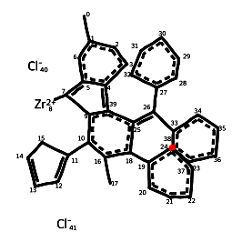 Cc1ccc2c(c1)=[C]([Zr+2])c1c(C3=CC=CC3)c(C)c(-c3ccccc3)c(=C(c3ccccc3)c3ccccc3)c1=2.[Cl-].[Cl-]